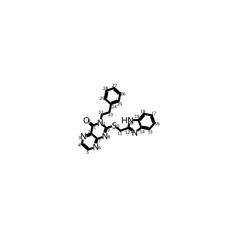 O=c1c2nccnc2nc(SCc2nc3ccccc3[nH]2)n1CCc1ccccc1